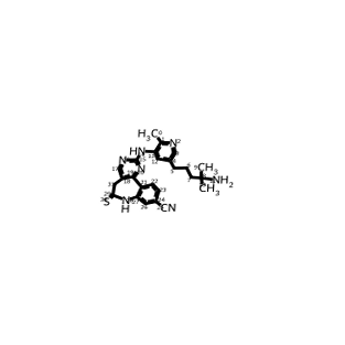 Cc1ncc(CCCC(C)(C)N)cc1Nc1ncc2c(n1)-c1ccc(C#N)cc1NC(=S)C2